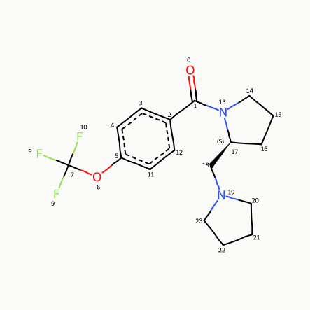 O=C(c1ccc(OC(F)(F)F)cc1)N1CCC[C@H]1CN1CCCC1